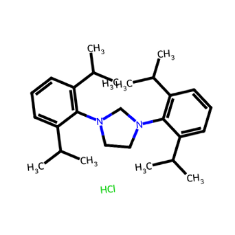 CC(C)c1cccc(C(C)C)c1N1CCN(c2c(C(C)C)cccc2C(C)C)C1.Cl